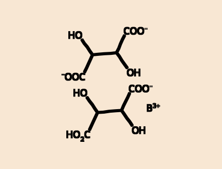 O=C([O-])C(O)C(O)C(=O)O.O=C([O-])C(O)C(O)C(=O)[O-].[B+3]